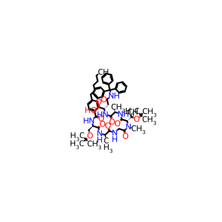 CCCCCCc1ccc(C(=O)N[C@H](COC(C)(C)C)C(=O)N[C@H](C)C(=O)NCC(=O)N(C)[C@H](C(=O)N[C@@H](C)C(=O)N[C@@H](CC(=O)NC(c2ccccc2)(c2ccccc2)c2ccccc2)C(=O)O)C(C)OC(C)(C)C)cc1